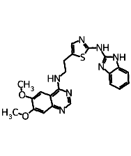 COc1cc2ncnc(NCCc3cnc(Nc4nc5ccccc5[nH]4)s3)c2cc1OC